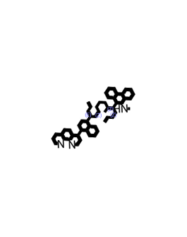 C=C/C=C\C(=C(/C)CCC/C=C\C(=C/C=C)c1ccc(-c2ccnc3c2ccc2cccnc23)c2ccccc12)c1c(NC)c2ccccc2c2ccccc12